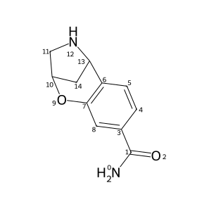 NC(=O)c1ccc2c(c1)OC1CNC2C1